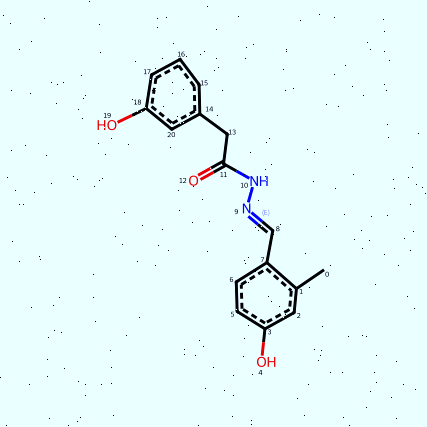 Cc1cc(O)ccc1/C=N/NC(=O)Cc1cccc(O)c1